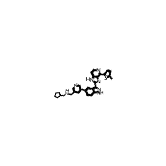 Cc1ccc(-c2nccc3[nH]c(-c4n[nH]c5ccc(-c6cncc(CNCC7CCCC7)c6)cc45)nc23)s1